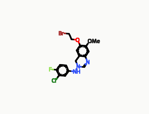 COc1cc2c(cc1OCCBr)CN(Nc1ccc(F)c(Cl)c1)C=N2